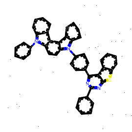 c1ccc(-c2nc(-c3ccc(-n4c5ccccc5c5c6c7ccccc7n(-c7ccccc7)c6ccc54)cc3)c3c(n2)sc2ccccc23)cc1